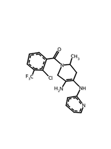 CC1CC(Nc2ccccn2)=C(N)CN1C(=O)c1cccc(C(F)(F)F)c1Cl